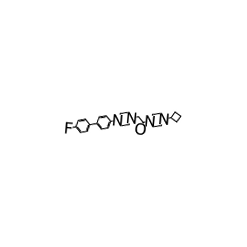 O=C(CN1CCN(c2ccc(-c3ccc(F)cc3)cc2)CC1)N1CCN(C2CCC2)CC1